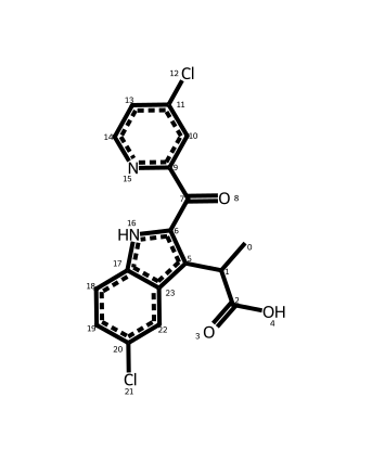 CC(C(=O)O)c1c(C(=O)c2cc(Cl)ccn2)[nH]c2ccc(Cl)cc12